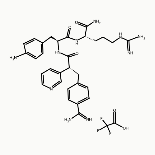 N=C(N)NCCC[C@H](NC(=O)[C@H](Cc1ccc(N)cc1)NC(=O)[C@H](Cc1ccc(C(=N)N)cc1)c1cccnc1)C(N)=O.O=C(O)C(F)(F)F